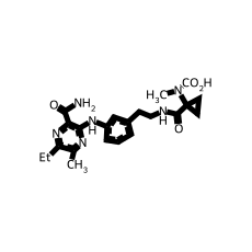 CCc1nc(C(N)=O)c(Nc2cccc(CCNC(=O)C3(N(C)C(=O)O)CC3)c2)nc1C